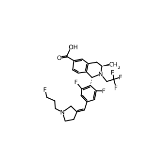 C[C@@H]1Cc2cc(C(=O)O)ccc2[C@@H](c2c(F)cc(C=C3CCN(CCCF)C3)cc2F)N1CC(F)(F)F